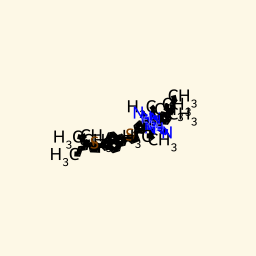 CCCCC(C)(CC)c1ccc2c(c1)N(CC(C)C)C(=C1\C(=N\C#N)c3ccc(-c4ccc(-c5cc6ccc7cc(-c8ccc(C(C)(CCCC)CC(C)C)s8)cc8ccc(c5)c6c78)s4)cc3N1CC(C)C)/C2=N/C#N